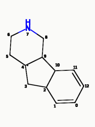 C1=CC2C[C]3CCNCC3C2C=C1